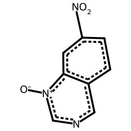 O=[N+]([O-])c1ccc2cnc[n+]([O-])c2c1